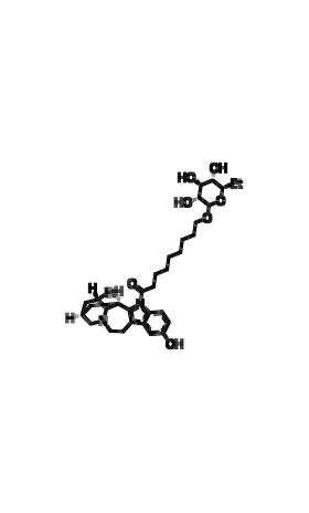 CC[C@H]1C[C@H]2C[C@H]3c4c(c5cc(O)ccc5n4C(=O)CCCCCCCCOC4O[C@H](CC)[C@@H](O)[C@H](O)[C@H]4O)CCN(C2)C13